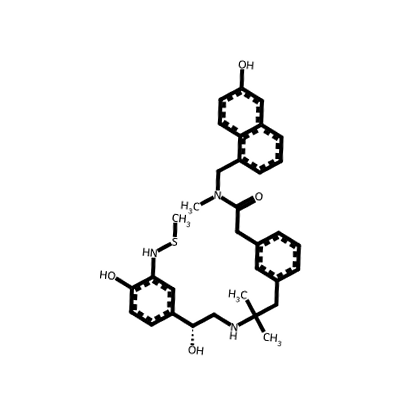 CSNc1cc([C@@H](O)CNC(C)(C)Cc2cccc(CC(=O)N(C)Cc3cccc4cc(O)ccc34)c2)ccc1O